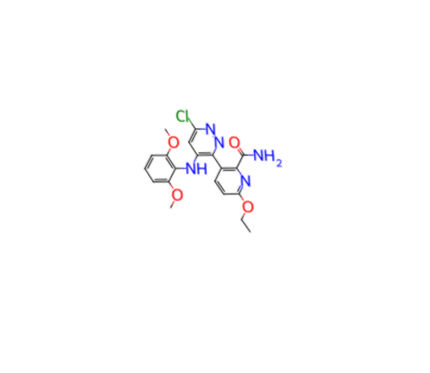 CCOc1ccc(-c2nnc(Cl)cc2Nc2c(OC)cccc2OC)c(C(N)=O)n1